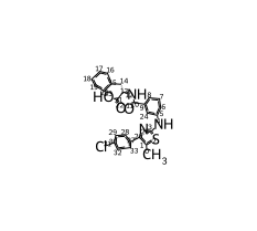 Cc1sc(Nc2cccc(C(=O)N[C@@H](Cc3ccccc3)C(=O)O)c2)nc1-c1ccc(Cl)cc1